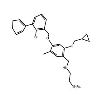 CC(=O)NCCNCc1cc(C)c(OCc2cccc(C3=CCCC=C3)c2Br)cc1OCC1CC1